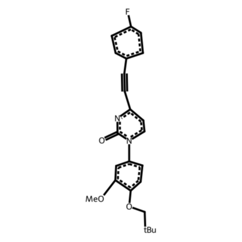 COc1cc(-n2ccc(C#Cc3ccc(F)cc3)nc2=O)ccc1OCC(C)(C)C